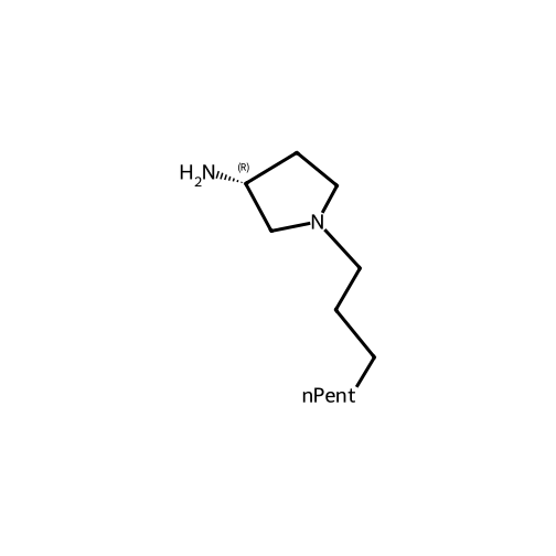 CCCCCCCCN1CC[C@@H](N)C1